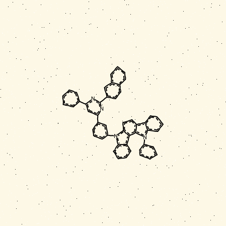 c1ccc(-c2cc(-c3cccc(-n4c5ccccc5c5c4ccc4c6ccccc6n(-c6ccccc6)c45)c3)nc(-c3ccc4ccccc4c3)n2)cc1